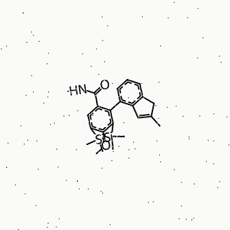 COc1c2cc(C([NH])=O)c(-c3cccc4c3C=C(C)C4)c1[Si](C)(C)[Si]2(C)C